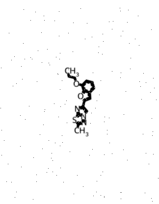 CCCOc1cccc2cc(-c3cn4nc(C)sc4n3)oc12